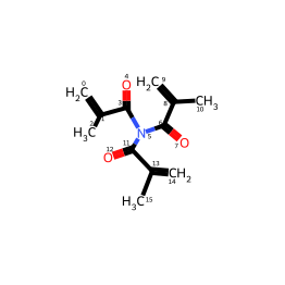 C=C(C)C(=O)N(C(=O)C(=C)C)C(=O)C(=C)C